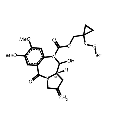 C=C1C[C@H]2C(O)N(C(=O)OCC3(SSC(C)C)CC3)c3cc(OC)c(OC)cc3C(=O)N2C1